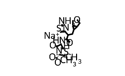 CC1(C)S[C@@H]2[C@H](NC(=O)C(CC3C4COCC43)c3csc(N)n3)C(=O)N2[C@H]1C(=O)[O-].[Na+]